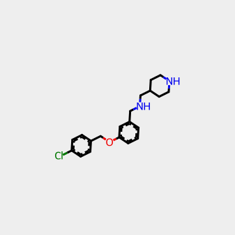 Clc1ccc(COc2cccc(CNCC3CCNCC3)c2)cc1